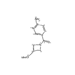 COC1CN(C(=O)c2ccc(N)nn2)C1